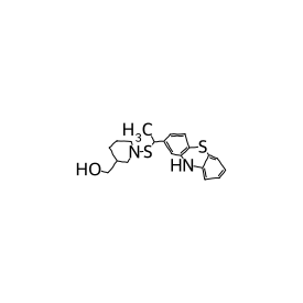 CC(SN1CCCC(CO)C1)c1ccc2c(c1)Nc1ccccc1S2